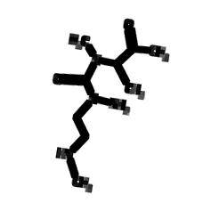 CNCCN(N)C(=O)N(C)C(C)C(C)=O